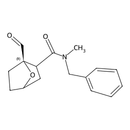 CN(Cc1ccccc1)C(=O)C1CC2CC[C@@]1(C=O)O2